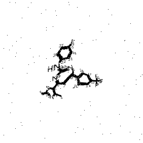 Cc1nc(C)c(-c2cc(-c3ccc(C(F)(F)F)cc3)nc(Nc3ccc(F)cc3)n2)s1